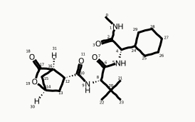 CNC(=O)[C@@H](NC(=O)[C@@H](NC(=O)[C@@H]1C[C@@H]2C[C@H]1C(=O)O2)C(C)(C)C)C1CCCCC1